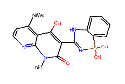 CCCn1c(=O)c(C2=NS(O)(O)c3ccccc3N2)c(O)c2c(NC)ccnc21